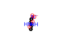 O=c1[nH]c(=Cc2ccc([N+](=O)[O-])cc2)c(=O)[nH]c1=Cc1ccccc1